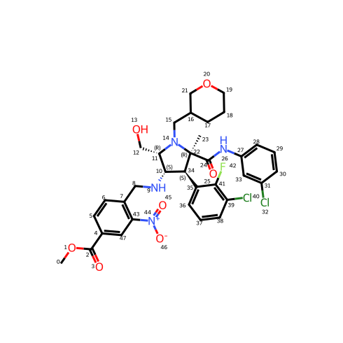 COC(=O)c1ccc(CN[C@@H]2[C@H](CO)N(CC3CCCOC3)[C@@](C)(C(=O)Nc3cccc(Cl)c3)[C@H]2c2cccc(Cl)c2F)c([N+](=O)[O-])c1